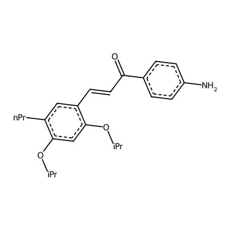 CCCc1cc(C=CC(=O)c2ccc(N)cc2)c(OC(C)C)cc1OC(C)C